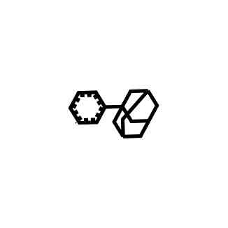 [c]1cccc(C23CC4CC(CC(C4)C2)C3)c1